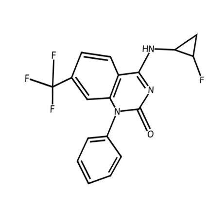 O=c1nc(NC2CC2F)c2ccc(C(F)(F)F)cc2n1-c1ccccc1